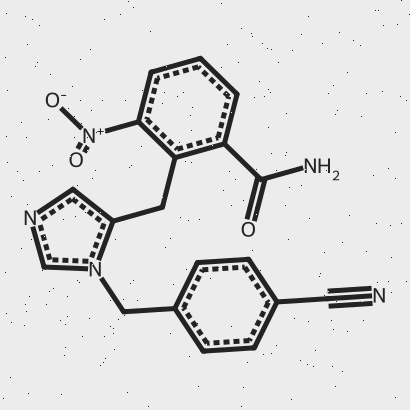 N#Cc1ccc(Cn2cncc2Cc2c(C(N)=O)cccc2[N+](=O)[O-])cc1